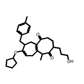 Cc1ccc(CC2CC3=C(CC=C2OC2CCCC2)C(C)C(=O)C(CCCO)CCC3=O)cc1